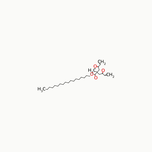 C=CC(=O)CC(C)(CC(=O)C=C)C(=O)OCCCCCCCCCCCCCCCCCC